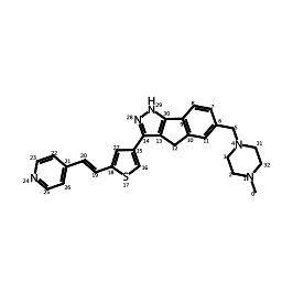 CN1CCN(Cc2ccc3c(c2)Cc2c(-c4csc(C=Cc5ccncc5)c4)n[nH]c2-3)CC1